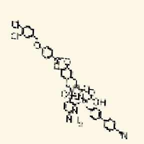 Cc1nc(N)ccc1S(=O)(=O)N1Cc2cc3c(cc2C[C@H]1C(=O)N[C@@H](Cc1ccc(-c2ccc(C#N)cc2)cc1)C(=O)O)OC[C@H](c1ccc(OCc2ccc(Cl)c(Cl)c2)cc1)O3